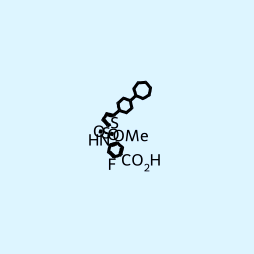 COc1cc(C(=O)O)c(F)cc1NS(=O)(=O)c1ccc(C2CCC(C3CCCCCC3)CC2)s1